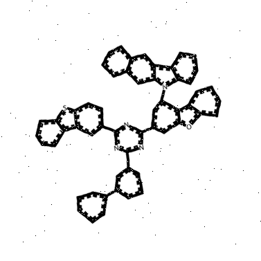 c1ccc(-c2cccc(-c3nc(-c4cc(-n5c6ccccc6c6cc7ccccc7cc65)c5c(c4)oc4ccccc45)nc(-c4ccc5sc6ccccc6c5c4)n3)c2)cc1